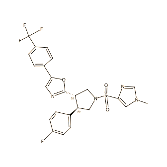 Cn1cnc(S(=O)(=O)N2C[C@@H](c3ccc(F)cc3)[C@H](c3ncc(-c4ccc(C(F)(F)F)cc4)o3)C2)c1